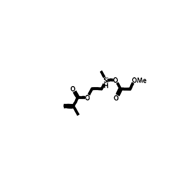 C=C(C)C(=O)OCC[SiH](C)OC(=O)COC